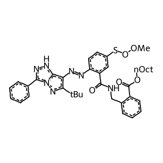 CCCCCCCCOC(=O)c1ccccc1CNC(=O)c1cc(SOOC)ccc1/N=N/c1c(C(C)(C)C)nn2c(-c3ccccc3)n[nH]c12